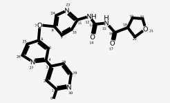 Cc1cc(-c2cc(Oc3ccc(NC(=O)NC(=O)C4CCOC4)nc3)ccn2)ccn1